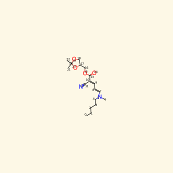 CCCCCN(C)/C=C/C=C(\C#N)C(=O)OCC1COC(C)(C)O1